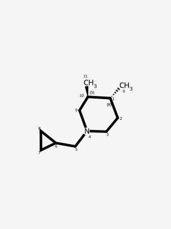 C[C@@H]1CCN(CC2CC2)C[C@H]1C